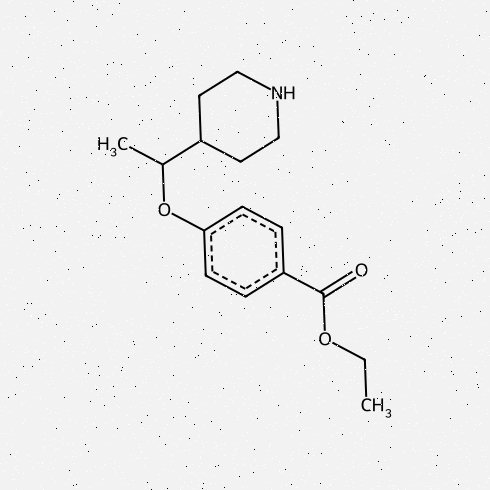 CCOC(=O)c1ccc(OC(C)C2CCNCC2)cc1